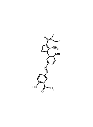 C=Nc1ccc(/N=N/c2ccc(O)c(C(N)=O)c2)cc1-n1ncc(C(=O)N(C)CC)c1N